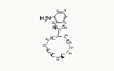 Nc1cccc2sc(C3CCCCCCCCCCC3)nc12